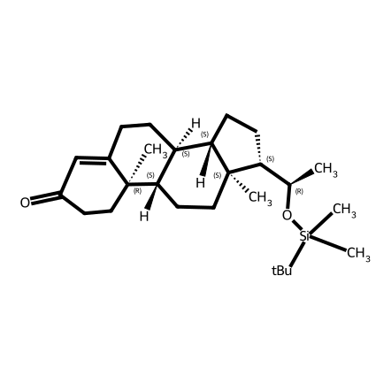 C[C@@H](O[Si](C)(C)C(C)(C)C)[C@H]1CC[C@H]2[C@@H]3CCC4=CC(=O)CC[C@]4(C)[C@H]3CC[C@]12C